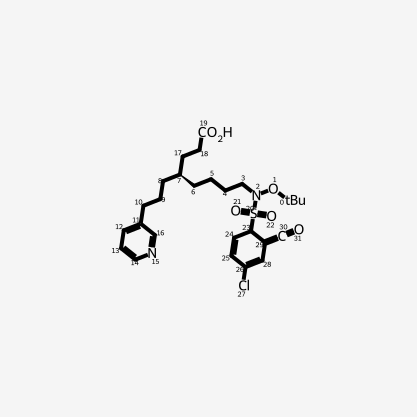 CC(C)(C)ON(CCCC[C@@H](CCCc1cccnc1)CCC(=O)O)S(=O)(=O)C1C=CC(Cl)=CC1=C=O